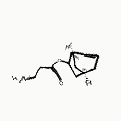 NCCC(=O)OC1C[C@@H]2CC=C[C@H]1C2